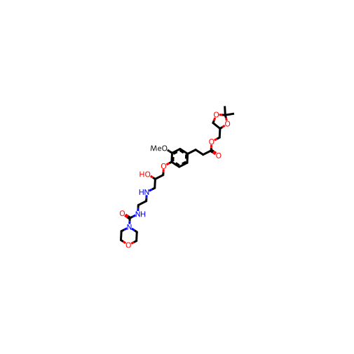 COc1cc(CCC(=O)OCC2COC(C)(C)O2)ccc1OCC(O)CNCCNC(=O)N1CCOCC1